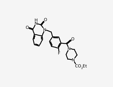 CCOC(=O)N1CCN(C(=O)c2cc(Cn3c(=O)[nH]c(=O)c4ccccc43)ccc2F)CC1